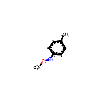 Cc1ccc(NO[N+](=O)[O-])cc1